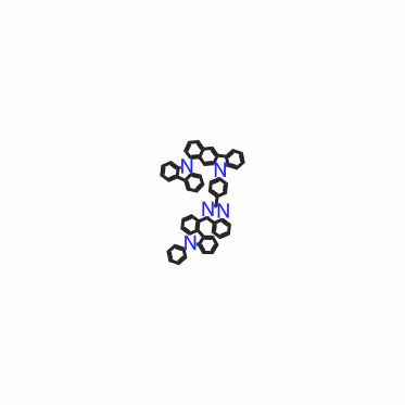 c1ccc(-n2c3ccccc3c3c(-c4nc(-c5ccc(-n6c7ccccc7c7cc8cccc(-n9c%10ccccc%10c%10ccccc%109)c8cc76)cc5)nc5ccccc45)cccc32)cc1